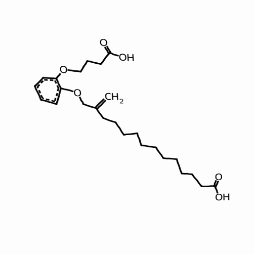 C=C(CCCCCCCCCCCC(=O)O)COc1ccccc1OCCCC(=O)O